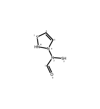 O=CN(S)N1C=CSN1